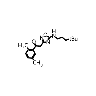 Cc1ccc(C)c(C(=O)Cc2noc(NCCCC(C)(C)C)n2)c1